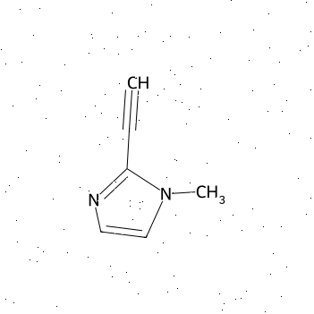 C#Cc1nccn1C